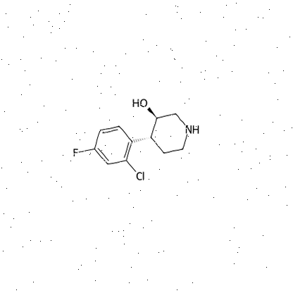 O[C@H]1CNCC[C@@H]1c1ccc(F)cc1Cl